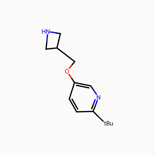 CC(C)(C)c1ccc(OCC2CNC2)cn1